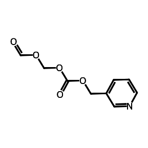 O=COCOC(=O)OCc1cccnc1